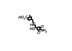 Cc1cc(CCCNCC(O)c2cc(Cl)c(N)c(Cl)c2)ccc1C(=O)O